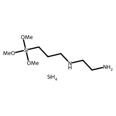 CO[Si](CCCNCCN)(OC)OC.[SiH4]